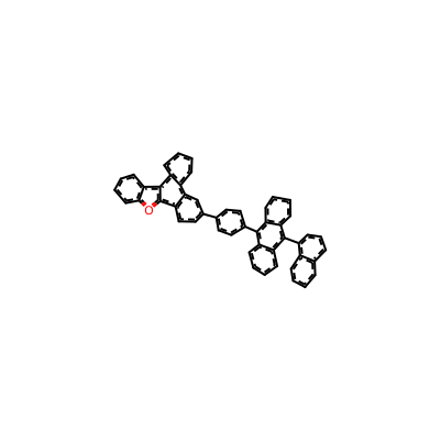 c1ccc2c(-c3c4ccccc4c(-c4ccc(-c5ccc6c(c5)c5ccccc5c5c7ccccc7oc65)cc4)c4ccccc34)cccc2c1